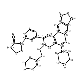 O=C(c1cccc(N2CCNC2=O)c1)N(CCC1=CCCCC1)Cc1cc2cc3c(cc2nc1N1CCOCC1)OCO3